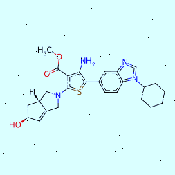 COC(=O)c1c(N2CC3=C[C@@H](O)C[C@@H]3C2)sc(-c2ccc3c(c2)ncn3C2CCCCC2)c1N